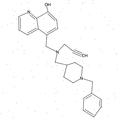 C#CCN(Cc1ccc(O)c2ncccc12)CC1CCN(Cc2ccccc2)CC1